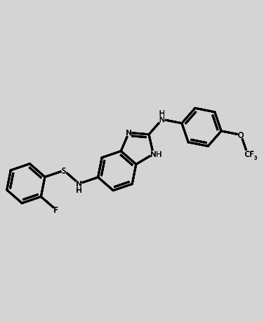 Fc1ccccc1SNc1ccc2[nH]c(Nc3ccc(OC(F)(F)F)cc3)nc2c1